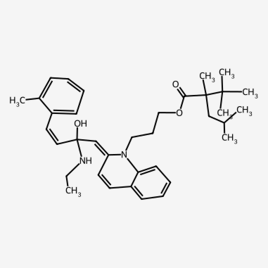 CCNC(O)(/C=C\c1ccccc1C)/C=C1\C=Cc2ccccc2N1CCCOC(=O)C(C)(CC(C)C)C(C)(C)C